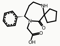 O=C(O)CN1C(=O)C2(CCCC2)NCC[C@H]1c1ccccc1